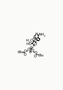 CC(C)(C)C(=O)OCOP(=O)(OCOC(=O)C(C)(C)C)OC[C@H]1O[C@@H](c2ccc3c(N)ncnn23)[C@](C)(O)[C@@H]1O